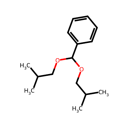 CC(C)COC(OCC(C)C)c1ccccc1